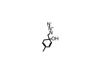 CC1=CCC(O)(CN=[N+]=[N-])C=C1